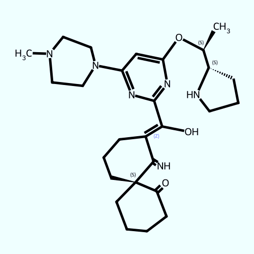 C[C@H](Oc1cc(N2CCN(C)CC2)nc(/C(O)=C2\CCC[C@@]3(CCCCC3=O)C2=N)n1)[C@@H]1CCCN1